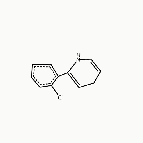 Clc1ccccc1C1=CCC=CN1